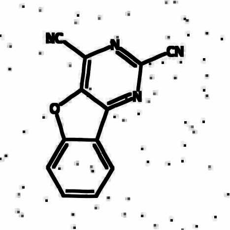 N#Cc1nc(C#N)c2oc3ccccc3c2n1